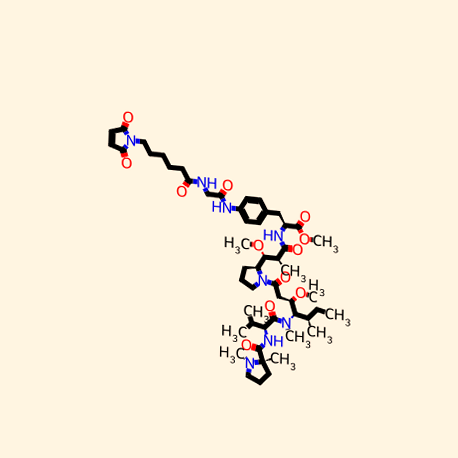 CC[C@H](C)[C@@H]([C@@H](CC(=O)N1CCC[C@H]1[C@H](OC)[C@@H](C)C(=O)N[C@@H](Cc1ccc(NC(=O)CNC(=O)CCCCCN2C(=O)C=CC2=O)cc1)C(=O)OC)OC)N(C)C(=O)[C@@H](NC(=O)[C@@]1(C)CCCN1C)C(C)C